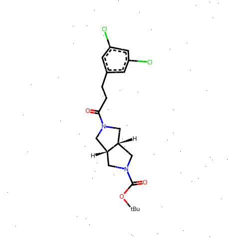 CC(C)(C)OC(=O)N1C[C@H]2CN(C(=O)CCc3cc(Cl)cc(Cl)c3)C[C@H]2C1